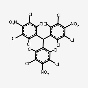 O=[N+]([O-])c1c(Cl)c(Cl)c(C(c2c(Cl)c(Cl)c([N+](=O)[O-])c(Cl)c2Cl)c2c(Cl)c(Cl)c([N+](=O)[O-])c(Cl)c2Cl)c(Cl)c1Cl